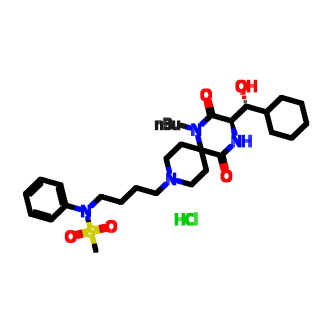 CCCCN1C(=O)[C@@H]([C@H](O)C2CCCCC2)NC(=O)C12CCN(CCCCN(c1ccccc1)S(C)(=O)=O)CC2.Cl